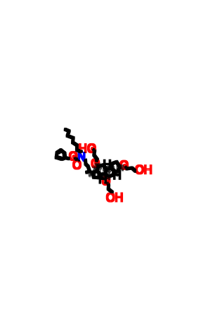 CCCCCCCCN(CCCC(C)[C@H]1CC[C@H]2C3[C@H](OCCCO)C[C@@H]4C[C@H](OCCCO)CC[C@]4(C)[C@H]3C[C@H](OCCCO)[C@]12C)C(=O)OCc1ccccc1